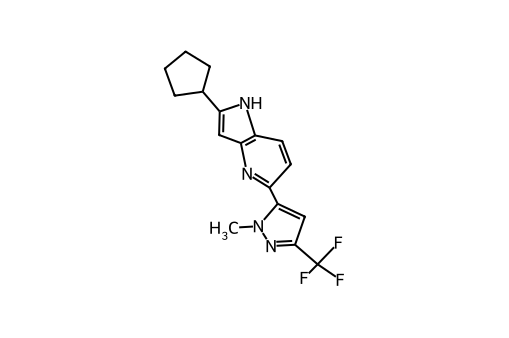 Cn1nc(C(F)(F)F)cc1-c1ccc2[nH]c(C3CCCC3)cc2n1